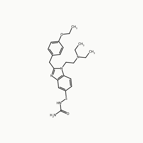 CCOc1ccc(Cc2nc3cc(SNC(N)=O)ccc3n2CCN(CC)CC)cc1